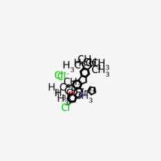 CC(C)(C)c1cc2c(cc1C(C)(C)C)-c1cc(C(C)(C)C)c(C(C)(C)C)[c](/[Zr+2](=[CH]\c3cccc(Cl)c3)[C]3=CC=CC3)c1C2.[Cl-].[Cl-]